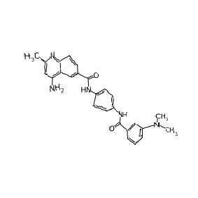 Cc1cc(N)c2cc(C(=O)Nc3ccc(NC(=O)c4cccc(N(C)C)c4)cc3)ccc2n1